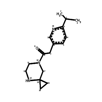 CC(C)c1ccc(CC(=O)N2CCNC3(CC3)C2)cn1